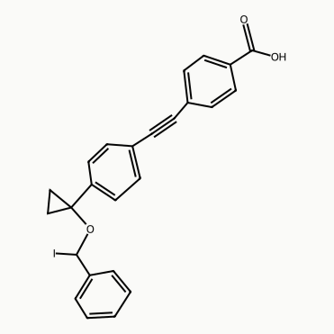 O=C(O)c1ccc(C#Cc2ccc(C3(OC(I)c4ccccc4)CC3)cc2)cc1